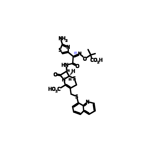 CC(C)(O/N=C(\C(=O)N[C@@H]1C(=O)N2C(C(=O)O)=C(CSc3cccc4cccnc34)CS[C@H]12)c1csc(N)n1)C(=O)O